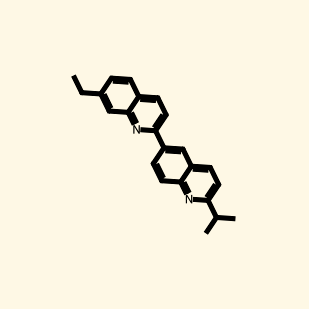 CCc1ccc2ccc(-c3ccc4nc(C(C)C)ccc4c3)nc2c1